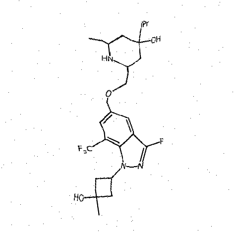 CC1CC(O)(C(C)C)CC(COc2cc(C(F)(F)F)c3c(c2)c(F)nn3C2CC(C)(O)C2)N1